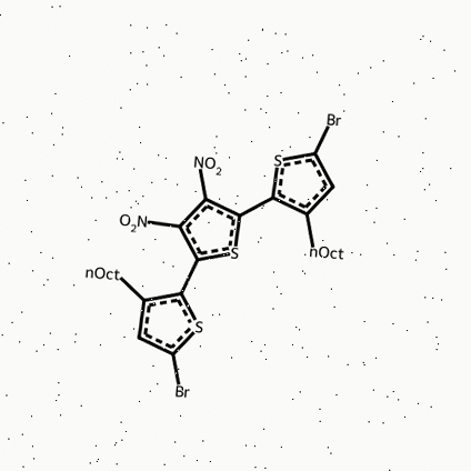 CCCCCCCCc1cc(Br)sc1-c1sc(-c2sc(Br)cc2CCCCCCCC)c([N+](=O)[O-])c1[N+](=O)[O-]